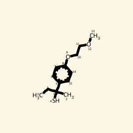 CCC(C)(S)c1ccc(OCCOC)cc1